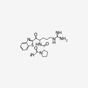 CC(C)C(=O)N1CCC[C@H]1C(=O)NC(CCCNC(=N)N)C(=O)c1nc2ccccc2s1